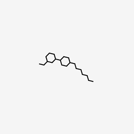 CCCCCCCC1CCC(C2CCCC(CC)C2)CC1